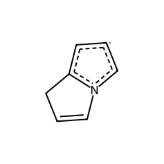 [c]1cc2n(c1)C=CC2